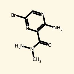 CN(N)C(=O)c1nc(Br)cnc1N